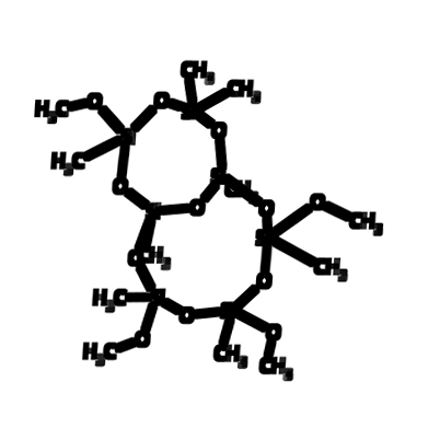 CO[Si]1(C)O[Si](C)(C)O[Si]2(C)O[Si](C)(OC)O[Si](C)(OC)O[Si](C)(OC)O[Si](C)(O1)O2